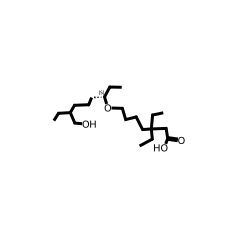 CCC(CO)CCC[C@H](CC)OCCCCC(CC)(CC)CC(=O)O